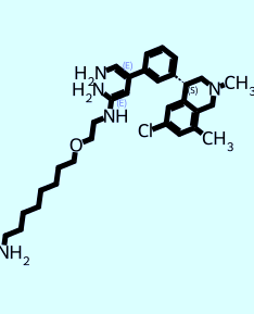 Cc1cc(Cl)cc2c1CN(C)C[C@H]2c1cccc(C(/C=C(\N)NCCOCCCCCCCCN)=C/N)c1